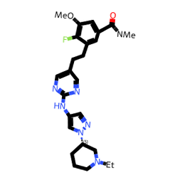 CCN1CCC[C@H](n2cc(Nc3ncc(CCc4cc(C(=O)NC)cc(OC)c4F)cn3)cn2)C1